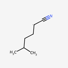 CC(C)CC[CH]C#N